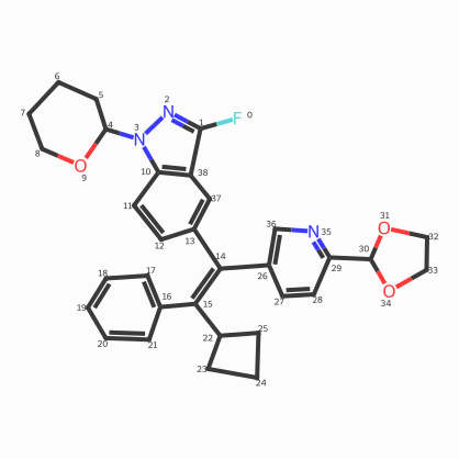 Fc1nn(C2CCCCO2)c2ccc(C(=C(c3ccccc3)C3CCC3)c3ccc(C4OCCO4)nc3)cc12